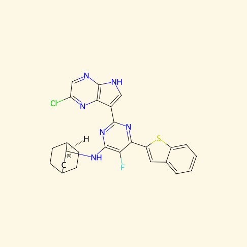 Fc1c(N[C@H]2CC3CCC2CC3)nc(-c2c[nH]c3ncc(Cl)nc23)nc1-c1cc2ccccc2s1